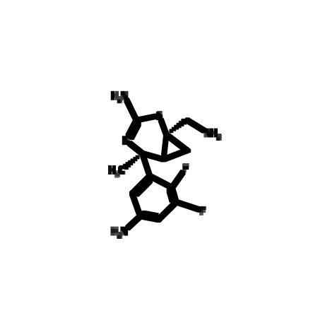 C[C@]1(c2cc(N)cc(F)c2F)N=C(N)S[C@@]2(CN)CC21